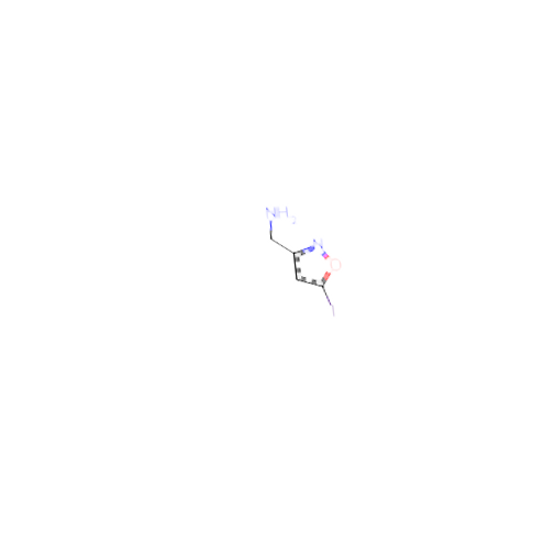 NCc1cc(I)on1